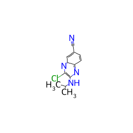 CC(C)Nc1nc2ccc(C#N)cc2nc1Cl